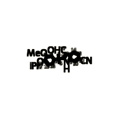 COC1=CC(C(C)(C)c2[nH]c3cc(C#N)ccc3c2C=O)CC=C1OC(C)C